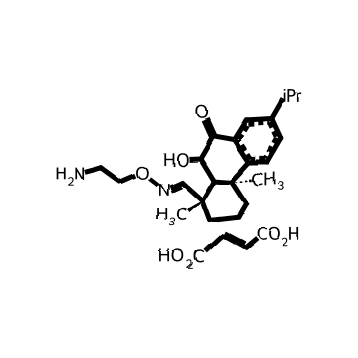 CC(C)c1ccc2c(c1)C(=O)C(O)C1[C@@](C)(C=NOCCN)CCC[C@]21C.O=C(O)/C=C/C(=O)O